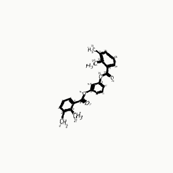 Cc1cccc(C(=O)Oc2cccc(OC(=O)c3cccc(C)c3C)c2)c1C